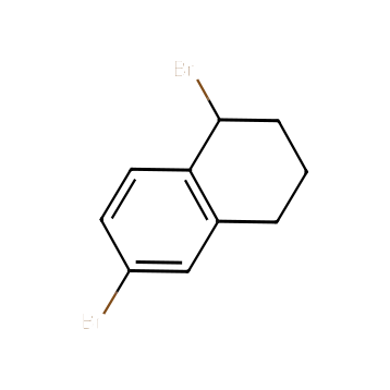 Brc1ccc2c(c1)CCCC2Br